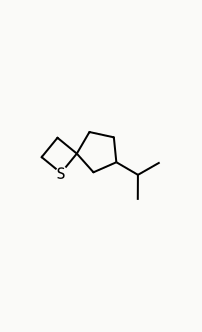 CC(C)C1CCC2(CCS2)C1